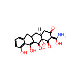 N/C(O)=C1\C(=O)C[C@@H]2CC3Cc4cccc(O)c4C(O)=C3C(=O)[C@]2(O)C1=O